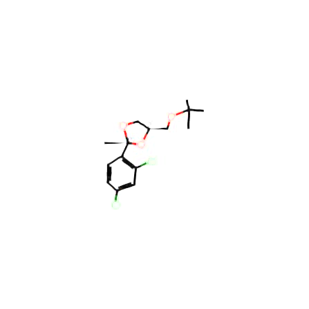 CC(C)(C)OC[C@@H]1CO[C@@](C)(c2ccc(Cl)cc2Cl)O1